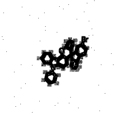 Brc1ccc2c(c1)C1(c3ccccc3Oc3c1ccc1c3c3ccccc3n1-c1ccccc1)c1ccccc1-2